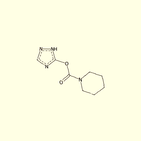 O=C(Oc1ncn[nH]1)N1CCCCC1